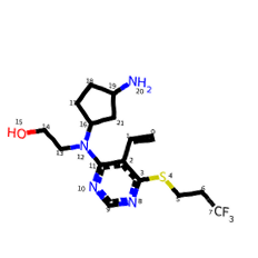 C=Cc1c(SCCC(F)(F)F)ncnc1N(CCO)C1CCC(N)C1